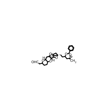 C=C(Br)CC(CC[C@@]12CC3OC4C(O1)[C@H]1OC(CC=O)CCC1O[C@H]4C3O2)OC(=O)c1ccccc1